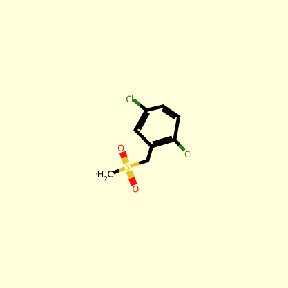 [CH2]S(=O)(=O)Cc1cc(Cl)ccc1Cl